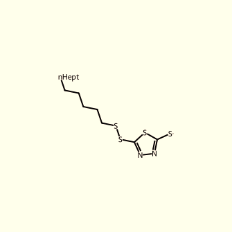 CCCCCCCCCCCCSSc1nnc([S])s1